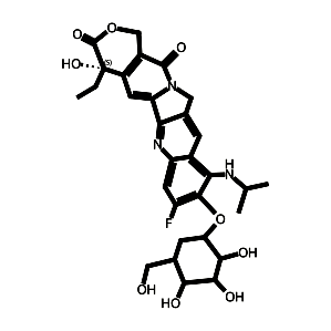 CC[C@@]1(O)C(=O)OCc2c1cc1n(c2=O)Cc2cc3c(NC(C)C)c(OC4CC(CO)C(O)C(O)C4O)c(F)cc3nc2-1